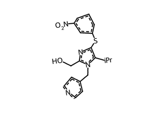 CC(C)c1c(Sc2cccc([N+](=O)[O-])c2)nc(CO)n1Cc1ccncc1